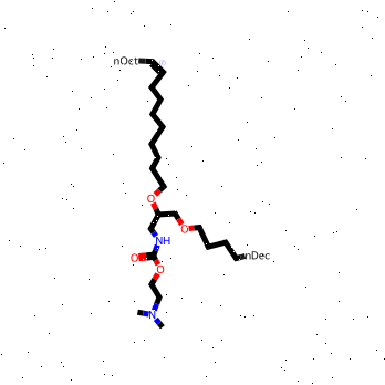 CCCCCCCC/C=C\CCCCCCCCOC(CNC(=O)OCCN(C)C)COCCCCCCCCCCCCCC